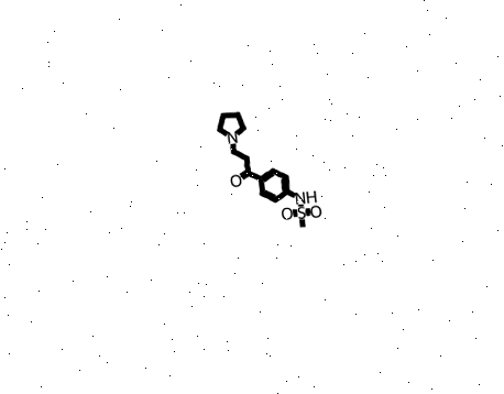 CS(=O)(=O)Nc1ccc(C(=O)CCN2CCCC2)cc1